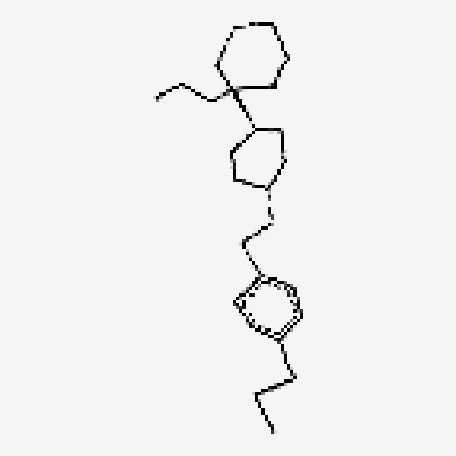 CCCc1ccc(CC[C@H]2CC[C@H](C3(CCC)CCCCC3)CC2)cc1